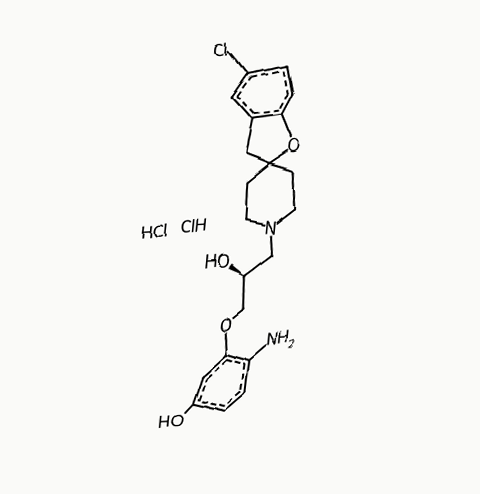 Cl.Cl.Nc1ccc(O)cc1OC[C@@H](O)CN1CCC2(CC1)Cc1cc(Cl)ccc1O2